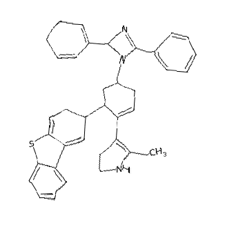 CC1=C(C2=CCC(N3C(c4ccccc4)=NC3C3=CCCC=C3)CC2C2C=c3c(sc4ccccc34)=CC2)CCN1